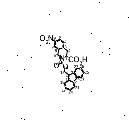 O=C(O)[C@@H]1Cc2ccc([N+](=O)[O-])cc2CN1C(=O)OCC1c2ccccc2-c2ccccc21